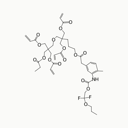 C=CC(=O)OCC(CCCOC(=O)Cc1ccc(C)c(NC(=O)OCC(F)(F)OCCC)c1)(COCC(COC(=O)C=C)(COC(=O)C=C)COC(=O)CC)COC(=O)C=C